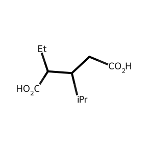 CCC(C(=O)O)C(CC(=O)O)C(C)C